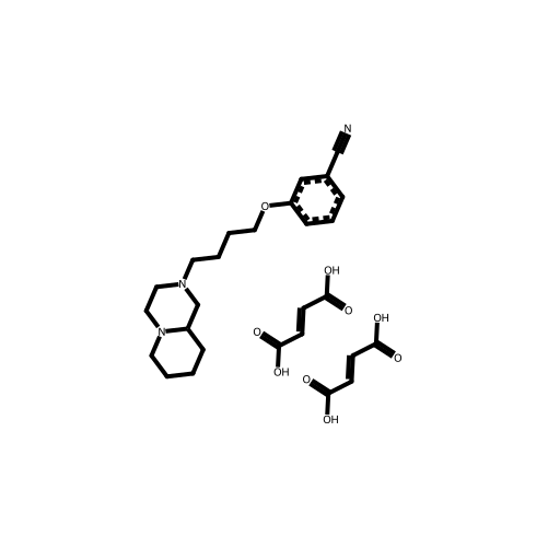 N#Cc1cccc(OCCCCN2CCN3CCCCC3C2)c1.O=C(O)C=CC(=O)O.O=C(O)C=CC(=O)O